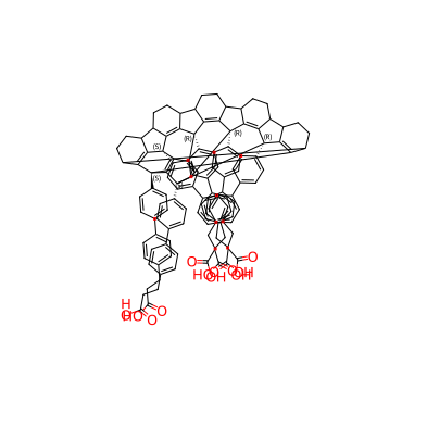 O=C(O)CCc1ccc(-c2ccc([C@]34C5=C6[C@]7(c8ccc(-c9ccc(CCC(=O)O)cc9)cc8)C8=C3C3CCC8C8CCC9C(=C87)[C@]7(c8ccc(-c%10ccc(CCC(=O)O)cc%10)cc8)C8=C%10C(CCC89)C8CCC9C%11=C8[C@]%10(c8ccc(-c%10ccc(CCC(=O)O)cc%10)cc8)C(=C5[C@@]%11(c5ccc(-c8ccc(CCC(=O)O)cc8)cc5)C5=C4C3CCC59)[C@]67c3ccc(-c4ccc(CCC(=O)O)cc4)cc3)cc2)cc1